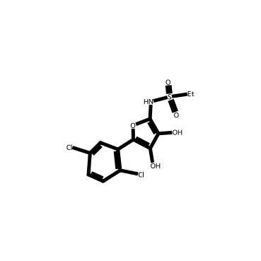 CCS(=O)(=O)Nc1oc(-c2cc(Cl)ccc2Cl)c(O)c1O